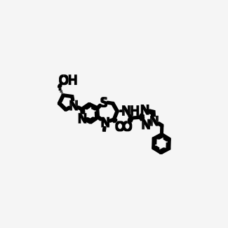 CN1C(=O)[C@@H](NC(=O)c2ncn(Cc3ccccc3)n2)CSc2cc(N3CC[C@H](CO)C3)ncc21